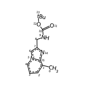 Cc1cccn2cc(CNC(=O)OC(C)(C)C)nc12